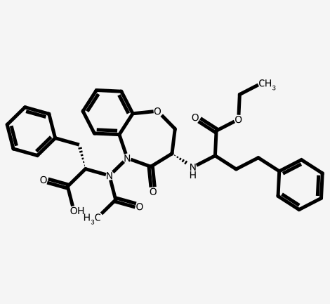 CCOC(=O)C(CCc1ccccc1)N[C@H]1COc2ccccc2N(N(C(C)=O)[C@@H](Cc2ccccc2)C(=O)O)C1=O